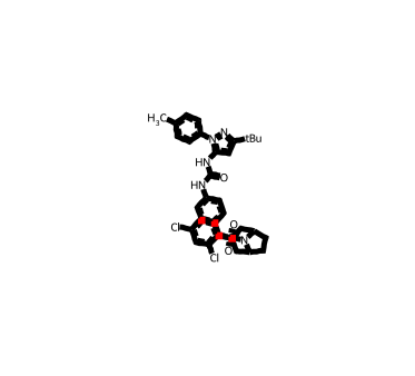 Cc1ccc(-n2nc(C(C)(C)C)cc2NC(=O)Nc2ccc(CC3CC4CCC(C3)N4S(=O)(=O)c3ccc(Cl)cc3Cl)cc2)cc1